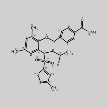 COC(=O)c1ccc(COc2c(C)cc(C)cc2N(CC(C)F)S(=O)(=O)c2nc(C)cs2)cc1